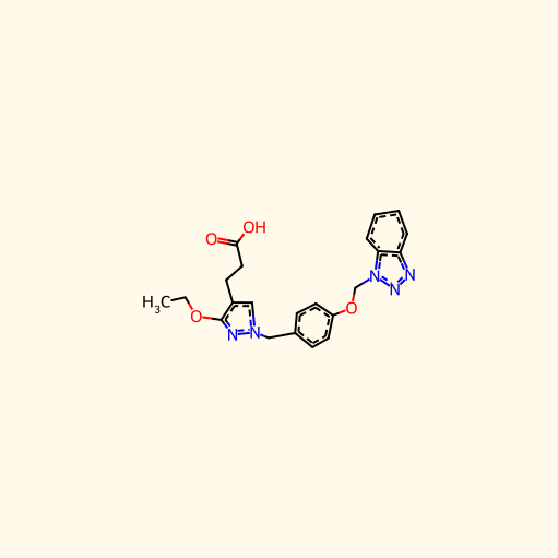 CCOc1nn(Cc2ccc(OCn3nnc4ccccc43)cc2)cc1CCC(=O)O